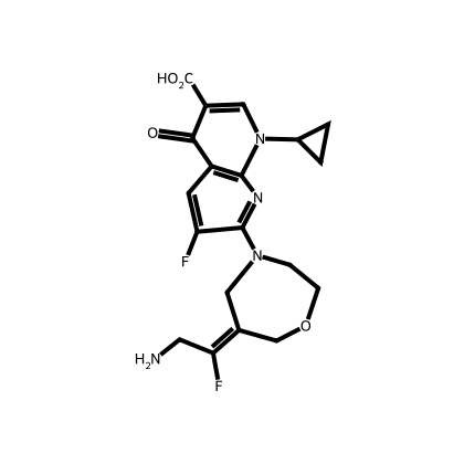 NCC(F)=C1COCCN(c2nc3c(cc2F)c(=O)c(C(=O)O)cn3C2CC2)C1